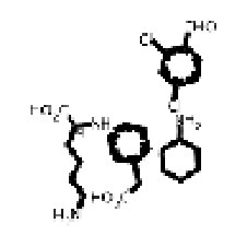 NC1CCCCC1.NCCCC[C@H](N)C(=O)O.O=C(O)Cc1ccccc1.O=Cc1ccc(Cl)cc1Cl